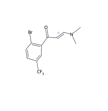 CN(C)/C=C/C(=O)c1cc(C(F)(F)F)ccc1Br